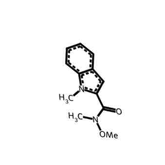 CON(C)C(=O)c1cc2ccccc2n1C